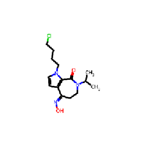 CC(C)N1CCC(=NO)c2ccn(CCCCCl)c2C1=O